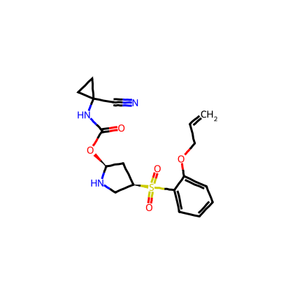 C=CCOc1ccccc1S(=O)(=O)[C@H]1CN[C@@H](OC(=O)NC2(C#N)CC2)C1